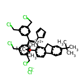 CC(C)(C)c1ccc2c(c1)Cc1c-2ccc(C(C)(C)C)[c]1[Zr+2](=[C](c1cc(CCl)cc(CCl)c1)c1cc(CCl)cc(CCl)c1)[CH]1C=CC=C1.[Cl-].[Cl-]